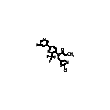 CCC(=O)N(Cc1cnc(Cl)s1)c1ccc(-c2cncc(F)c2)nc1C(F)(F)F